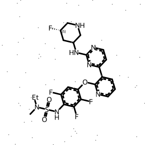 CCN(C)S(=O)(=O)Nc1c(F)cc(Oc2ncccc2-c2ccnc(NC3CNC[C@@H](F)C3)n2)c(F)c1F